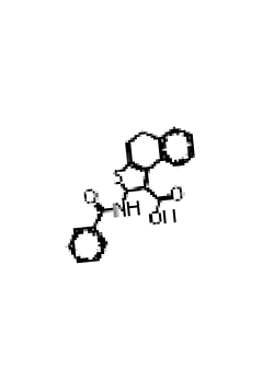 O=C(NC1SC2=C(c3ccccc3CC2)C1C(=O)O)c1ccccc1